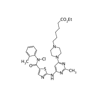 CCOC(=O)CCCCCN1CCN(c2cc(Nc3ncc(C(=O)N(Cl)c4ccccc4C)s3)nc(C)n2)CC1